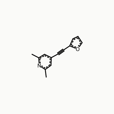 Cc1cc(C#Cc2ccco2)cc(C)n1